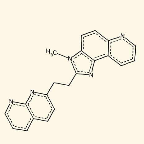 Cn1c(CCc2ccc3cccnc3n2)nc2c3cccnc3ccc21